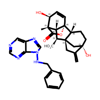 C=C1C[C@]23C[C@@]1(O)CC[C@H]2[C@@]12C=C[C@H](O)[C@@](C)(C(=O)O1)[C@H]2[C@@H]3C(=O)O.c1ccc(CNn2cnc3cncnc32)cc1